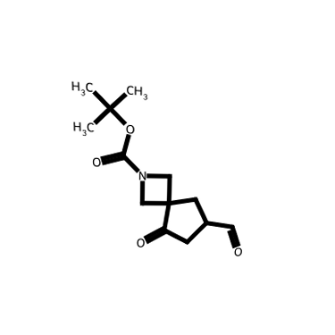 CC(C)(C)OC(=O)N1CC2(CC(C=O)CC2=O)C1